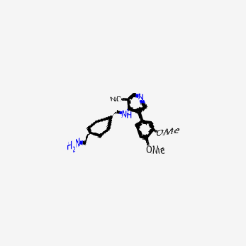 COc1ccc(-c2cncc(C#N)c2NC[C@H]2CC[C@H](CN)CC2)cc1OC